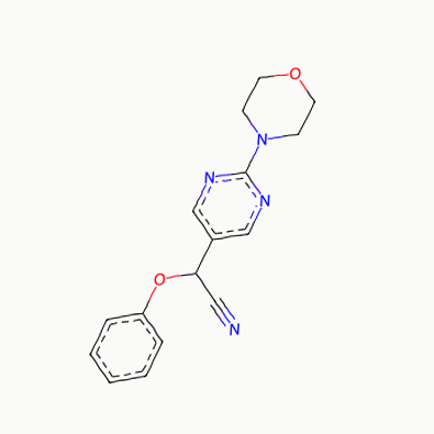 N#CC(Oc1ccccc1)c1cnc(N2CCOCC2)nc1